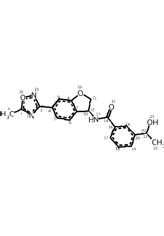 Cc1nc(-c2ccc3c(c2)OC[C@H]3NC(=O)c2cccc([C@H](C)O)c2)no1